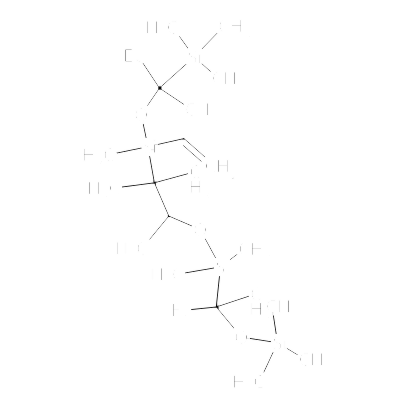 C=C[Si](C)(OC(C)(CC)[Si](C)(C)C)C(C)(C)C(C)O[Si](C)(C)C(C)(CC)O[Si](C)(C)C